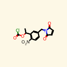 CC(OC(=O)Cl)c1cc(CN2C(=O)C=CC2=O)ccc1[N+](=O)[O-]